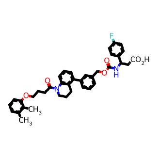 Cc1cccc(OCCCC(=O)N2CCCc3c(-c4cccc(COC(=O)NC(CC(=O)O)c5ccc(F)cc5)c4)cccc32)c1C